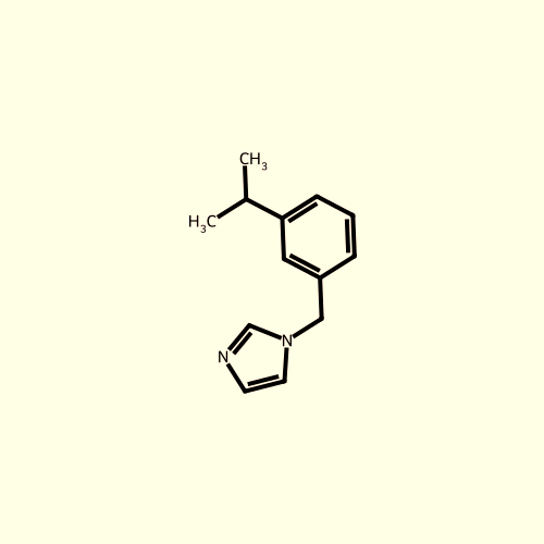 CC(C)c1cccc(Cn2ccnc2)c1